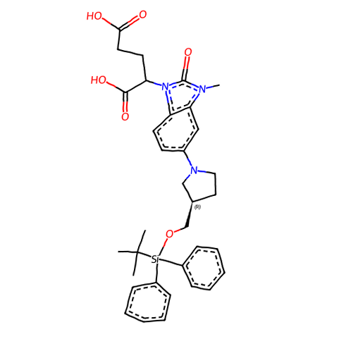 Cn1c(=O)n(C(CCC(=O)O)C(=O)O)c2ccc(N3CC[C@@H](CO[Si](c4ccccc4)(c4ccccc4)C(C)(C)C)C3)cc21